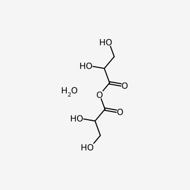 O.O=C(OC(=O)C(O)CO)C(O)CO